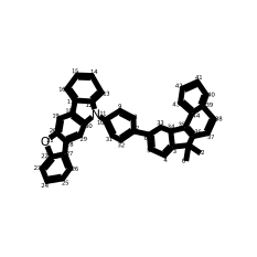 CC1(C)C2=CC=C(c3ccc(-n4c5ccccc5c5cc6oc7ccccc7c6cc54)cc3)CC2c2c1ccc1ccccc21